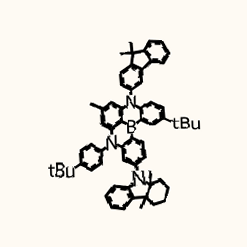 Cc1cc2c3c(c1)N(c1ccc(C(C)(C)C)cc1)c1cc(N4c5ccccc5C5(C)CCCCC45C)ccc1B3c1cc(C(C)(C)C)ccc1N2c1ccc2c(c1)-c1ccccc1C2(C)C